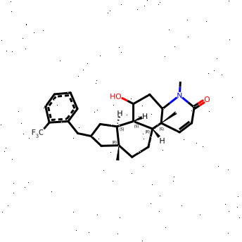 CN1C(=O)C=C[C@@]2(C)C1CC(O)[C@@H]1[C@H]2CC[C@]2(C)CC(Cc3ccccc3C(F)(F)F)C[C@@H]12